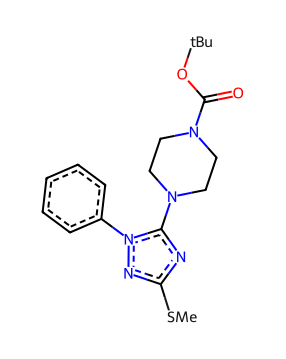 CSc1nc(N2CCN(C(=O)OC(C)(C)C)CC2)n(-c2ccccc2)n1